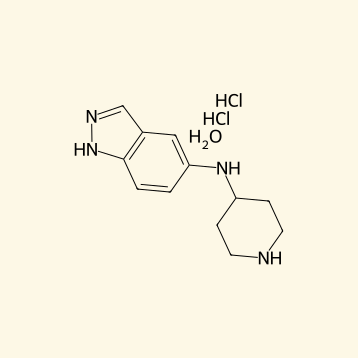 Cl.Cl.O.c1cc2[nH]ncc2cc1NC1CCNCC1